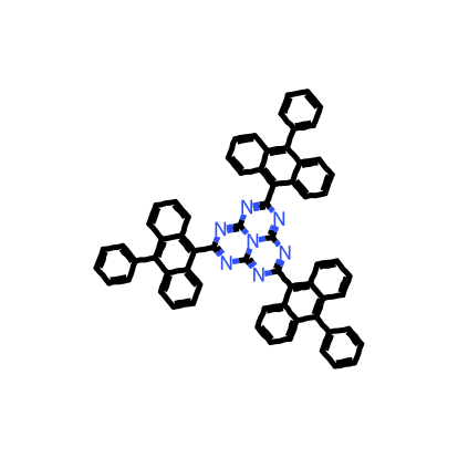 c1ccc(-c2c3ccccc3c(C3=NC4=NC(c5c6ccccc6c(-c6ccccc6)c6ccccc56)=NC5=NC(c6c7ccccc7c(-c7ccccc7)c7ccccc67)=NC(=N3)N45)c3ccccc23)cc1